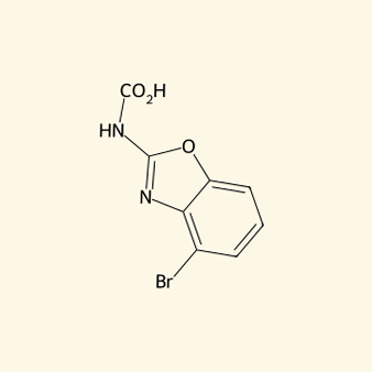 O=C(O)Nc1nc2c(Br)cccc2o1